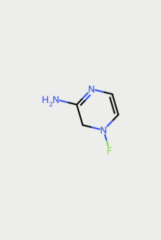 NC1=NC=CN(F)C1